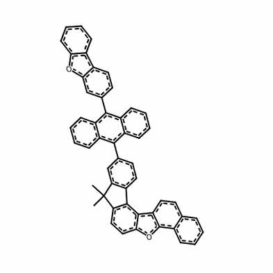 CC1(C)c2cc(-c3c4ccccc4c(-c4ccc5c(c4)oc4ccccc45)c4ccccc34)ccc2-c2c1ccc1oc3c4ccccc4ccc3c21